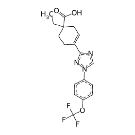 CCC1(C(=O)O)CC=C(c2ncn(-c3ccc(OC(F)(F)F)cc3)n2)CC1